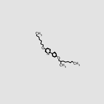 CCCCCCCOc1ccc(-c2ccc(OCC(C)CCCCCC)cc2)nc1